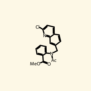 COC(=O)c1ccccc1N(Cc1ccc2ccc(Cl)nc2c1)C(C)=O